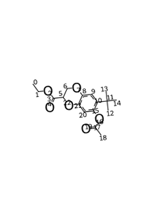 CCOC(=O)C1COc2cc(C(C)(C)C)c(OC(C)=O)cc2O1